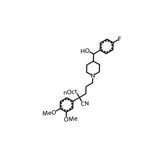 CCCCCCCCC(C#N)(CCCN1CCC(C(O)c2ccc(F)cc2)CC1)c1ccc(OC)c(OC)c1